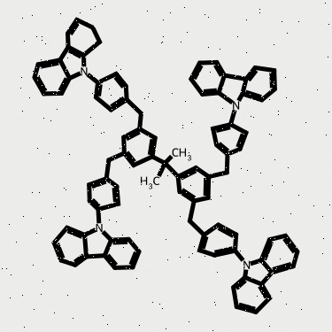 CC(C)(c1cc(Cc2ccc(-n3c4c(c5ccccc53)C=CCC4)cc2)cc(Cc2ccc(-n3c4ccccc4c4ccccc43)cc2)c1)c1cc(Cc2ccc(-n3c4ccccc4c4ccccc43)cc2)cc(Cc2ccc(-n3c4ccccc4c4ccccc43)cc2)c1